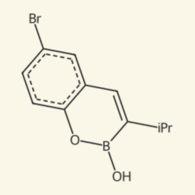 CC(C)C1=Cc2cc(Br)ccc2OB1O